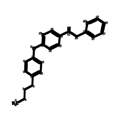 CCCCc1ccc(Oc2ccc(NCc3ccccn3)cn2)cc1